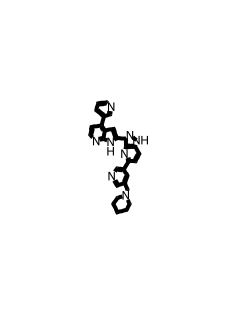 c1cncc(-c2ccnc3[nH]c(-c4n[nH]c5ccc(-c6cncc(CN7CCCCC7)c6)nc45)cc23)c1